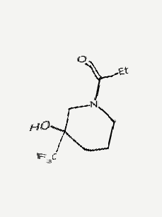 CCC(=O)N1CCCC(O)(C(F)(F)F)C1